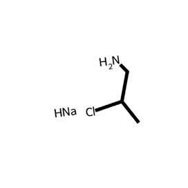 CC(Cl)CN.[NaH]